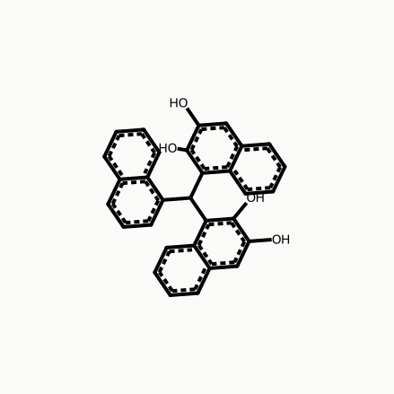 Oc1cc2ccccc2c(C(c2cccc3ccccc23)c2c(O)c(O)cc3ccccc23)c1O